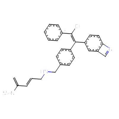 C=C(/C=C/CNCc1ccc(/C(=C(/CC)c2ccccc2)c2ccc3c(c2)C=N3)cc1)NC